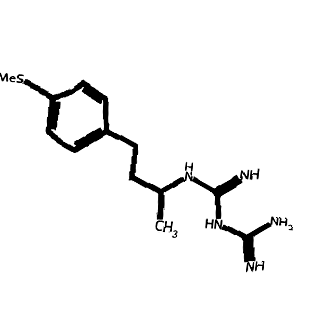 CSc1ccc(CCC(C)NC(=N)NC(=N)N)cc1